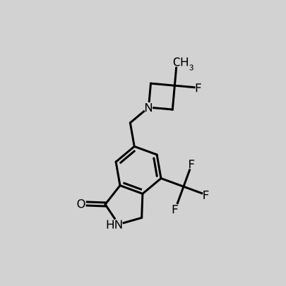 CC1(F)CN(Cc2cc3c(c(C(F)(F)F)c2)CNC3=O)C1